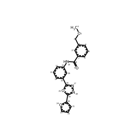 COCc1cccc(C(=O)Nc2cccc(-c3nnc(-c4ccco4)o3)c2)c1